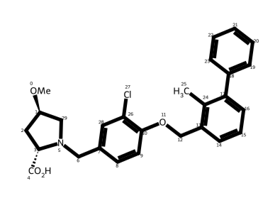 CO[C@@H]1C[C@@H](C(=O)O)N(Cc2ccc(OCc3cccc(-c4ccccc4)c3C)c(Cl)c2)C1